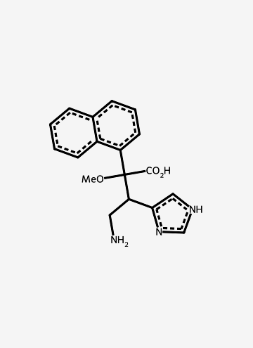 COC(C(=O)O)(c1cccc2ccccc12)C(CN)c1c[nH]cn1